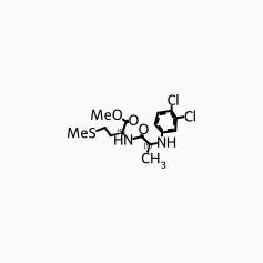 COC(=O)[C@H](CCSC)NC(=O)[C@H](C)Nc1ccc(Cl)c(Cl)c1